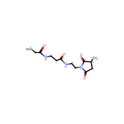 CNCC(=O)NCCC(=O)NCCN1C(=O)CC(C)C1=O